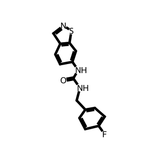 O=C(NCc1ccc(F)cc1)Nc1ccc2cnsc2c1